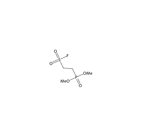 COP(=O)(CCS(=O)(=O)F)OC